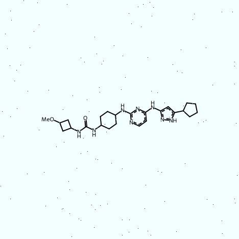 COC1CC(NC(=O)NC2CCC(Nc3nccc(Nc4cc(C5CCCC5)[nH]n4)n3)CC2)C1